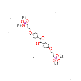 CCOP(=O)(CCCOc1ccc(C(=O)C(=O)c2ccc(OCCCP(=O)(OCC)OCC)cc2)cc1)OCC